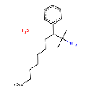 CCCCCCCCCCCCCCCCC(c1ccccc1)C(C)(C)N.O